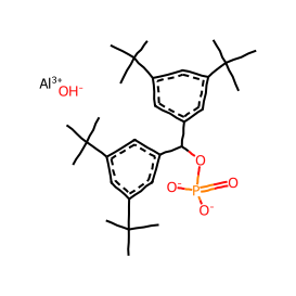 CC(C)(C)c1cc(C(OP(=O)([O-])[O-])c2cc(C(C)(C)C)cc(C(C)(C)C)c2)cc(C(C)(C)C)c1.[Al+3].[OH-]